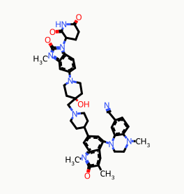 Cc1cc2c(N3CCN(C)c4ccc(C#N)cc43)cc(C3CCN(CC4(O)CCN(c5ccc6c(c5)n(C)c(=O)n6C5CCC(=O)NC5=O)CC4)CC3)cc2n(C)c1=O